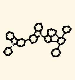 c1ccc(-c2ccc(-c3ccccc3)c3c2-c2cccc4c(-n5c6ccccc6c6cc(-c7ccc8c(c7)c7ccccc7n8-c7ccccc7)ccc65)ccc-3c24)cc1